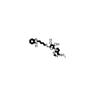 Nc1ncnc2c1ccn2[C@@H]1O[C@H](CSCCCCc2nc3ccccc3[nH]2)[C@@H](O)[C@H]1O